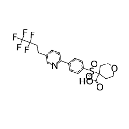 O=C(O)C1(S(=O)(=O)c2ccc(-c3ccc(CCC(F)(F)C(F)(F)F)cn3)cc2)CCOCC1